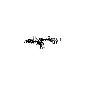 C#CCN(CC(=O)O)C(=O)CCCCCO[C@@]1(C(=O)O)C[C@@H](O)[C@H](NC(=O)CO)[C@@H]([C@@H](O)[C@@H](O)CNC(=O)Cc2ccc(Cl)cc2)O1